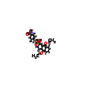 CCOc1c2ccccc2c(OCC)c2cc(S(=O)(=O)OCc3ccc([N+](=O)[O-])cc3)ccc12